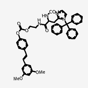 COc1cc(C=Cc2ccc(OC(=O)OCCNC(=O)C(Cc3nccn3C(c3ccccc3)(c3ccccc3)c3ccccc3)NC(=O)O)cc2)cc(OC)c1